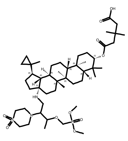 COP(=O)(COC(C)C(CN[C@]12CC[C@@H](C3(C)CC3)[C@@H]1[C@H]1CC[C@@H]3[C@@]4(C)CC[C@H](OC(=O)CC(C)(C)CC(=O)O)C(C)(C)[C@@H]4CC[C@@]3(C)[C@]1(C)CC2)N1CCS(=O)(=O)CC1)OC